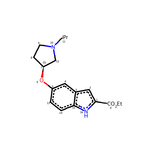 CCOC(=O)c1cc2cc(O[C@H]3CCN(C(C)C)C3)ccc2[nH]1